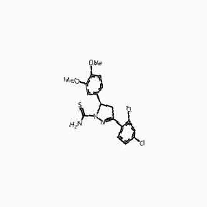 COc1ccc(C2CC(c3ccc(Cl)cc3Cl)=NN2C(N)=S)cc1OC